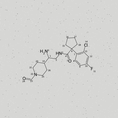 NC(CNC(=O)C1(c2ccc(F)cc2Cl)CCCC1)C1CCN(C=O)CC1